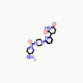 NC1CCN(C(=O)N2CCN(c3cccc(C4CCC(=O)NC4=O)n3)CC2)CC1